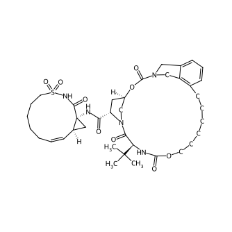 CC(C)(C)[C@@H]1NC(=O)OCCCCCCc2cccc3c2CN(C3)C(=O)O[C@@H]2C[C@@H](C(=O)N[C@]34C[C@H]3/C=C\CCCCCS(=O)(=O)NC4=O)N(C2)C1=O